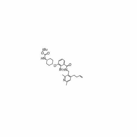 C=CCCc1cc(C)nc(C)c1CNC(=O)c1cccc(O[C@H]2CC[C@H](NC(=O)OC(C)(C)C)CC2)c1Br